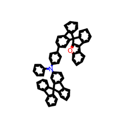 c1ccc(N(c2ccc(-c3ccc4c(c3)C3(c5ccccc5-4)c4ccccc4-c4c3oc3ccccc43)cc2)c2ccc3c(c2)C2(c4ccccc4-c4ccccc42)c2ccccc2-3)cc1